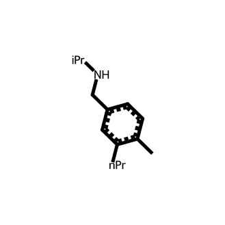 CCCc1cc(CNC(C)C)ccc1C